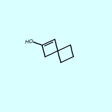 OC1=CC2(CCC2)C1